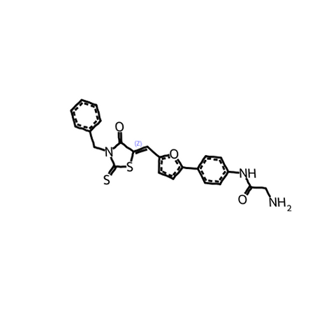 NCC(=O)Nc1ccc(-c2ccc(/C=C3\SC(=S)N(Cc4ccccc4)C3=O)o2)cc1